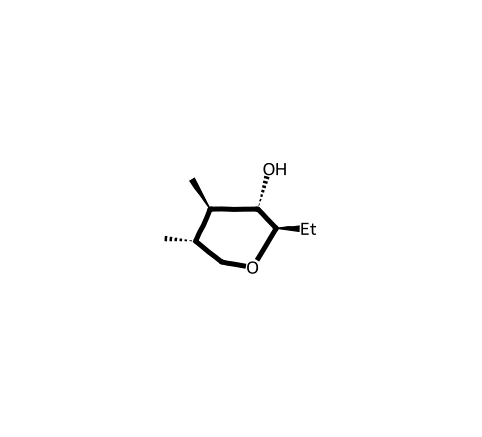 CC[C@H]1OC[C@H](C)[C@@H](C)[C@@H]1O